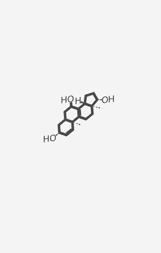 C[C@]12CCC3=C(C(O)CC4C[C@@H](O)C=C[C@]34C)[C@@H]1CC[C@@H]2O